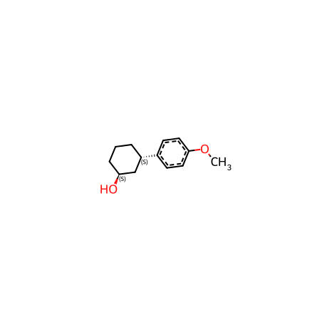 COc1ccc([C@H]2CCC[C@H](O)C2)cc1